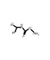 CCC(NC(=S)ON)C(C)C